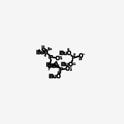 CC(C)COP([O-])OCC(C)C.CC(C)COP([O-])OCC(C)C.CC(C)COP([O-])OCC(C)C.[Sb+3]